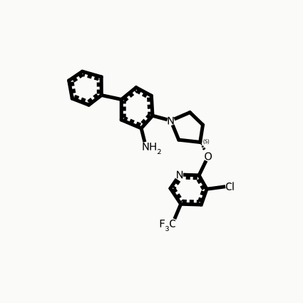 Nc1cc(-c2ccccc2)ccc1N1CC[C@H](Oc2ncc(C(F)(F)F)cc2Cl)C1